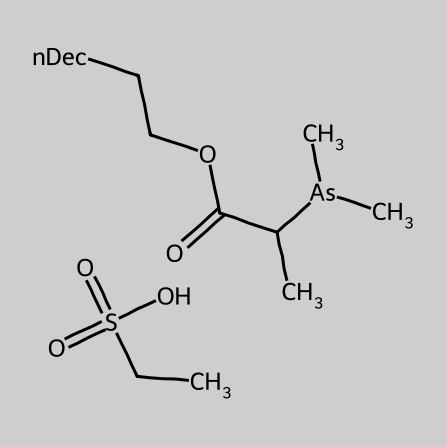 CCCCCCCCCCCCOC(=O)C(C)[As](C)C.CCS(=O)(=O)O